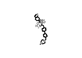 CN1CCN(Cc2ccc(-c3ccc(CC(N)NC(=O)[C@]4(N)CCc5ccsc5C4)cc3)cc2)CC1